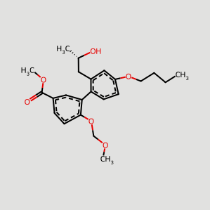 CCCCOc1ccc(-c2cc(C(=O)OC)ccc2OCOC)c(C[C@H](C)O)c1